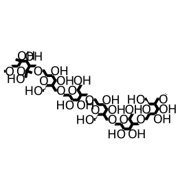 COCC1C(O)C(O)C(COCC2C(CO)OC(COCC3C(O)C(O)C(COCC4C(CO)OC(COCC5C(O)C(O)C(COCC6[C@@H](O)C(C)(O)C(COC)OC6(C)CO)O[C@H]5CO)C(O)[C@@H]4O)O[C@H]3CO)C(O)[C@@H]2O)O[C@H]1CO